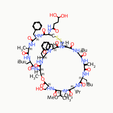 C=C1NC(=O)C([C@@H](C)CC)NC(=O)[C@@H]2CSSCC(NC(=O)CCC(O)O)C(=O)N[C@H](Cc3ccccc3)C(=O)N[C@H](C)C(=O)NC(C[C@@H](C)CC)C(=O)N[C@@H](C(=O)N[C@H](Cc3ccccc3)C(=O)N3CCC[C@H]3C(=O)N2)[C@@H](C)OC(=O)[C@H](CO)NC(=O)[C@H]([C@@H](C)OC)N(C)C(=O)[C@@H](C(C)C)NC(=O)[C@H](C[C@H](C)CC)NC1=O